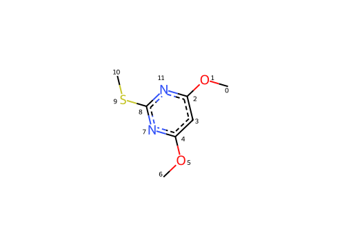 COc1cc(OC)nc(SC)n1